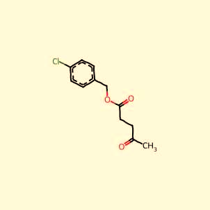 CC(=O)CCC(=O)OCc1ccc(Cl)cc1